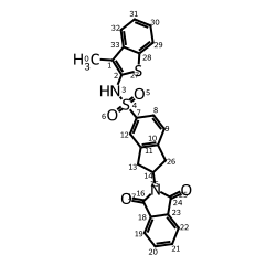 Cc1c(NS(=O)(=O)c2ccc3c(c2)CC(N2C(=O)c4ccccc4C2=O)C3)sc2ccccc12